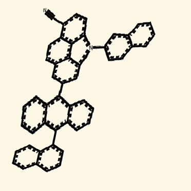 N#Cc1ccc2c3c1ccc1cc(-c4c5ccccc5c(-c5cccc6ccccc56)c5ccccc45)cc(c13)n2-c1ccc2ccccc2c1